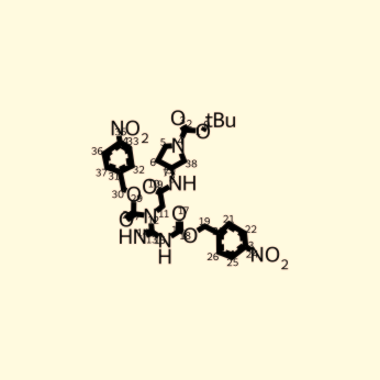 CC(C)(C)OC(=O)N1CC[C@H](NC(=O)CN(C(=N)NC(=O)OCc2ccc([N+](=O)[O-])cc2)C(=O)OCc2ccc([N+](=O)[O-])cc2)C1